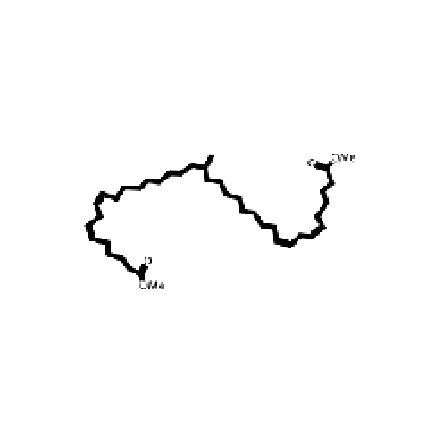 COC(=O)CCCC/C=C\C/C=C\CCCCCCCCC(C)CCCCCCCC/C=C\C/C=C\CCCCC(=O)OC